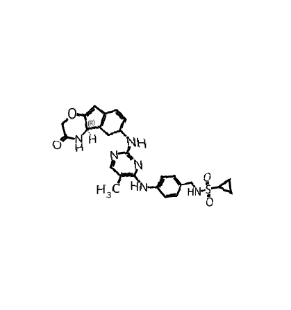 Cc1cnc(NC2C=CC3=C(C2)[C@H]2NC(=O)COC2=C3)nc1Nc1ccc(CNS(=O)(=O)C2CC2)cc1